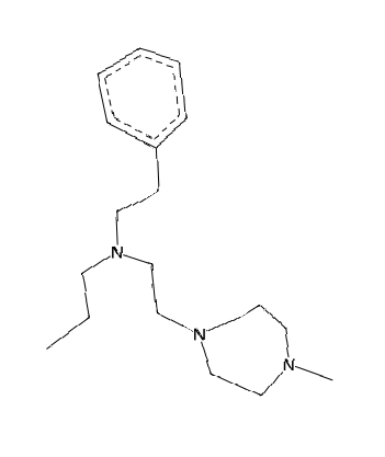 CCCN(CCc1ccccc1)CCN1CCN(C)CC1